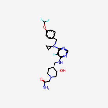 NC(=O)CN1CC[C@@H](CNc2ncnc(N(Cc3ccc(OC(F)F)cc3)C3CC3)c2F)[C@H](O)C1